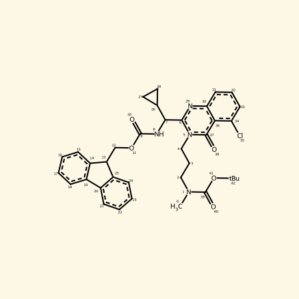 CN(CCCn1c(C(NC(=O)OCC2c3ccccc3-c3ccccc32)C2CC2)nc2cccc(Cl)c2c1=O)C(=O)OC(C)(C)C